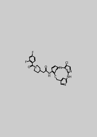 O=C(CC1CCN(C(=O)c2ccc(F)cc2F)CC1)Nc1ccc2cc1CCc1cncc(c1)Nc1ncc(Cl)c(n1)N2